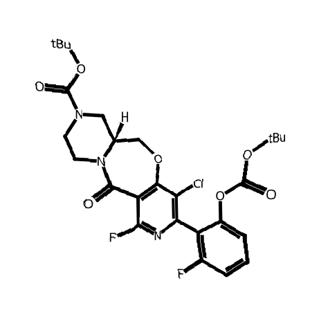 CC(C)(C)OC(=O)Oc1cccc(F)c1-c1nc(F)c2c(c1Cl)OC[C@H]1CN(C(=O)OC(C)(C)C)CCN1C2=O